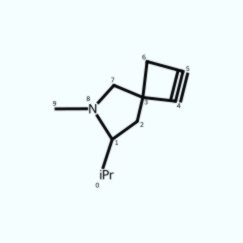 CC(C)C1CC2(C#CC2)CN1C